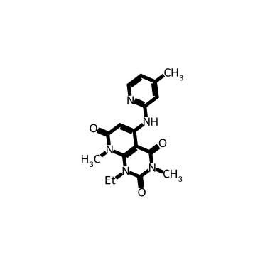 CCn1c(=O)n(C)c(=O)c2c(Nc3cc(C)ccn3)cc(=O)n(C)c21